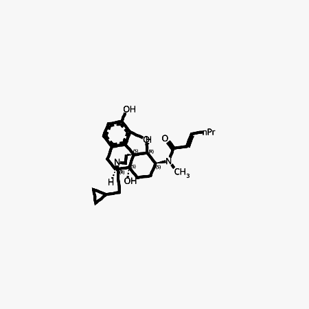 CCCC=CC(=O)N(C)[C@H]1CC[C@@]2(O)[C@H]3Cc4ccc(O)c5c4[C@@]2(CCN3CC2CC2)[C@H]1O5